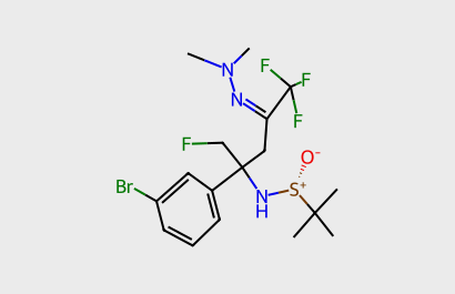 CN(C)N=C(CC(CF)(N[S@+]([O-])C(C)(C)C)c1cccc(Br)c1)C(F)(F)F